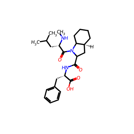 CN[C@@H](CC(C)C)C(=O)N1C(C(=O)N[C@@H](Cc2ccccc2)C(=O)O)C[C@@H]2CCCCC21